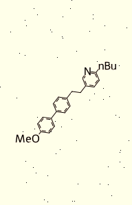 CCCCc1ccc(CCc2ccc(-c3ccc(OC)cc3)cc2)cn1